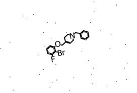 Fc1cccc(OCC2=CCN(Cc3ccccc3)CC2)c1Br